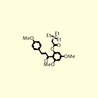 CC[N+](CC)(CC)CC(=O)Oc1cc(OC)cc(OC)c1C(=O)C=Cc1ccc(OC)cc1